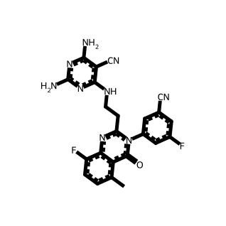 Cc1ccc(F)c2nc(CCNc3nc(N)nc(N)c3C#N)n(-c3cc(F)cc(C#N)c3)c(=O)c12